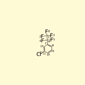 FC(F)(F)C(F)(F)c1c[c]cc(Cl)c1